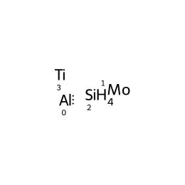 [Al].[Mo].[SiH4].[Ti]